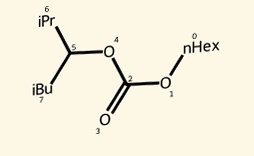 CCCCCCOC(=O)OC(C(C)C)C(C)CC